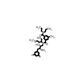 CCCN(CCC)C(=O)c1cc(C)cc(C(=O)N(C[C@@H](O)[C@@H](N)Cc2cc(F)cc(F)c2)C(CO)CCSC)c1